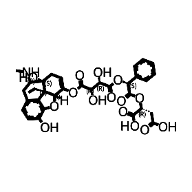 CC[C@]12c3c4ccc(O)c3O[C@H]1C(OC(=O)[C@H](O)[C@@H](O)C(=O)O[C@H](C(=O)O[C@H](CC(=O)O)C(=O)O)c1ccccc1)=CC[C@@]2(O)[C@H](NC)C4